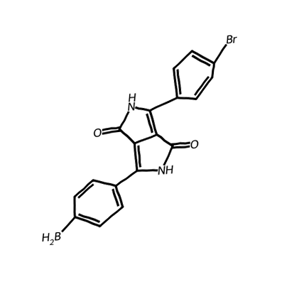 Bc1ccc(C2=C3C(=O)NC(c4ccc(Br)cc4)=C3C(=O)N2)cc1